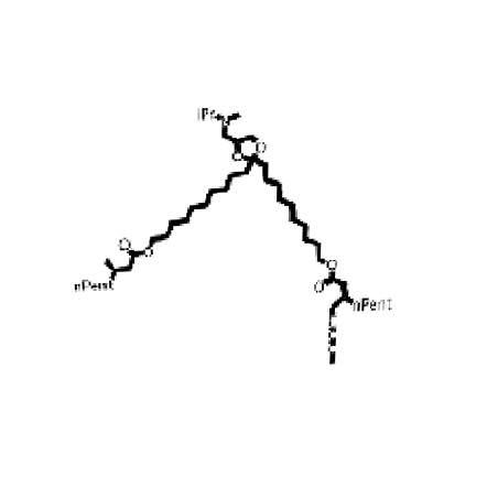 C=C=C=C=CC(CCCCC)CC(=O)OCCCCCCCCCCC1(CCCCCCCCCCOC(=O)CC(C)CCCCC)OCC(CN(C)C(C)C)O1